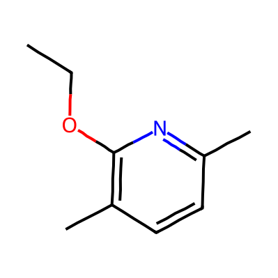 CCOc1nc(C)ccc1C